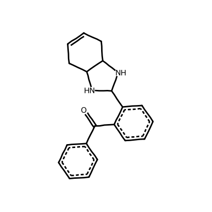 O=C(c1ccccc1)c1ccccc1C1NC2CC=CCC2N1